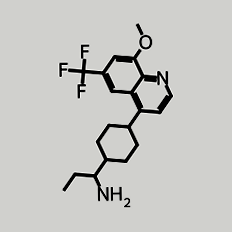 CCC(N)C1CCC(c2ccnc3c(OC)cc(C(F)(F)F)cc23)CC1